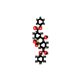 O=C(Oc1ccccc1)c1ccc2c(c1)C(=O)c1ccc(C(=O)Oc3ccccc3)cc1S2(=O)=O